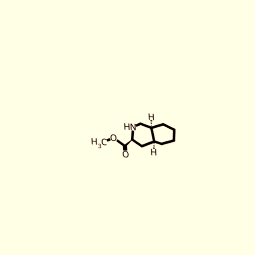 COC(=O)[C@@H]1C[C@@H]2CCCC[C@@H]2CN1